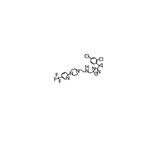 FC(F)(F)c1ccc(N2CCN(CCNCc3nc(C4(c5ccc(Cl)cc5Cl)CC4)no3)CC2)nc1